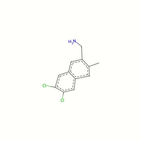 Cc1cc2cc(Cl)c(Cl)cc2cc1CN